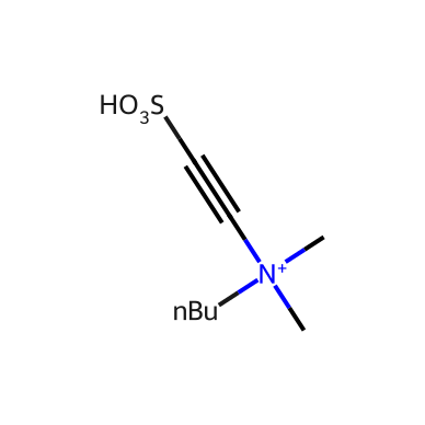 CCCC[N+](C)(C)C#CS(=O)(=O)O